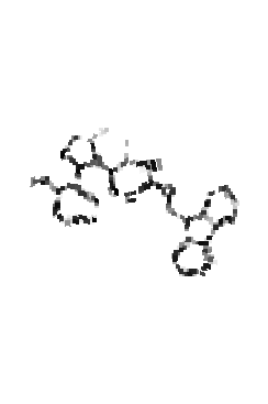 C[C@H](NC(=O)OCC1c2ccccc2-c2ccccc21)C(=O)N1C(c2ccccc2O)OC[C@@H]1C